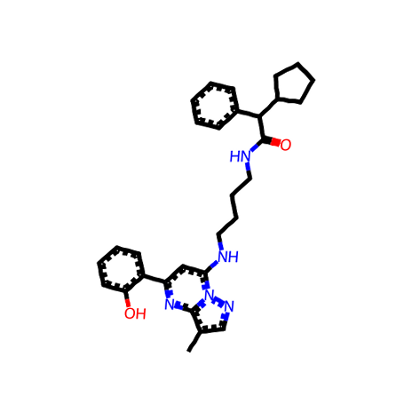 Cc1cnn2c(NCCCCNC(=O)C(c3ccccc3)C3CCCC3)cc(-c3ccccc3O)nc12